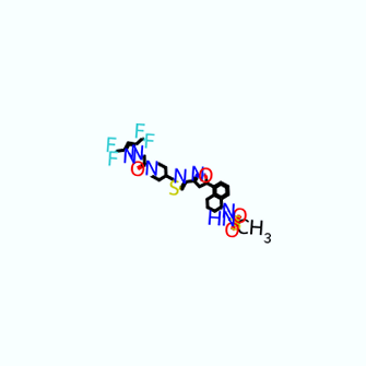 CS(=O)(=O)N/N=C1\CCCc2c1cccc2C1CC(c2csc(C3CCN(C(=O)Cn4nc(C(F)F)cc4C(F)F)CC3)n2)=NO1